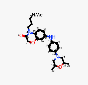 CNCCCN1C(=O)COc2cc(Nc3ccc(N4CC(C)OC(C)C4)cc3)ccc21